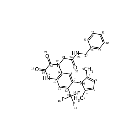 Cc1ccc(C)n1-c1cc2c(cc1C(F)(F)F)[nH]c(=O)c(=O)n2CC(=O)NCc1ccccc1